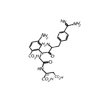 N=C(N)c1ccc(CC(N)C(=O)N(CC(=O)N[C@@H](CC(=O)O)C(=O)O)c2cc(N)ccc2C(=O)O)cc1